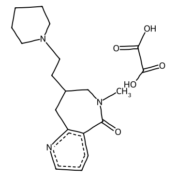 CN1CC(CCN2CCCCC2)Cc2ncccc2C1=O.O=C(O)C(=O)O